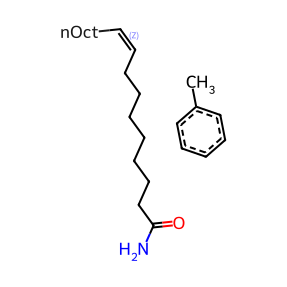 CCCCCCCC/C=C\CCCCCCCC(N)=O.Cc1ccccc1